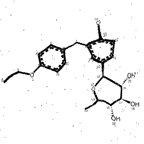 CCOc1ccc(Cc2cc([C@@H]3OC(C)[C@@H](O)[C@H](O)[C@H]3O)ccc2Cl)cc1